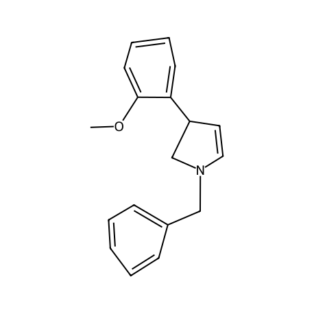 COc1ccccc1C1C=CN(Cc2ccccc2)C1